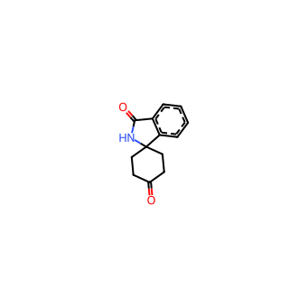 O=C1CCC2(CC1)NC(=O)c1ccccc12